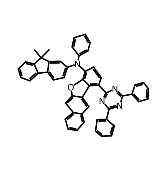 CC1(C)c2ccccc2-c2ccc(N(c3ccccc3)c3ccc(-c4nc(-c5ccccc5)nc(-c5ccccc5)n4)c4c3oc3cc5ccccc5cc34)cc21